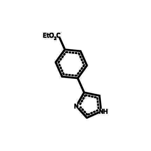 CCOC(=O)c1ccc(-c2c[nH]cn2)cc1